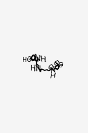 COc1ccc(NC(=O)CCCCC(C)NCCc2c[nH]c3ccc(O)cc23)cc1OC